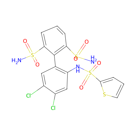 NS(=O)(=O)c1cccc(S(N)(=O)=O)c1-c1cc(Cl)c(Cl)cc1NS(=O)(=O)c1cccs1